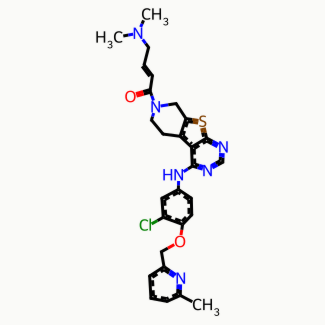 Cc1cccc(COc2ccc(Nc3ncnc4sc5c(c34)CCN(C(=O)C=CCN(C)C)C5)cc2Cl)n1